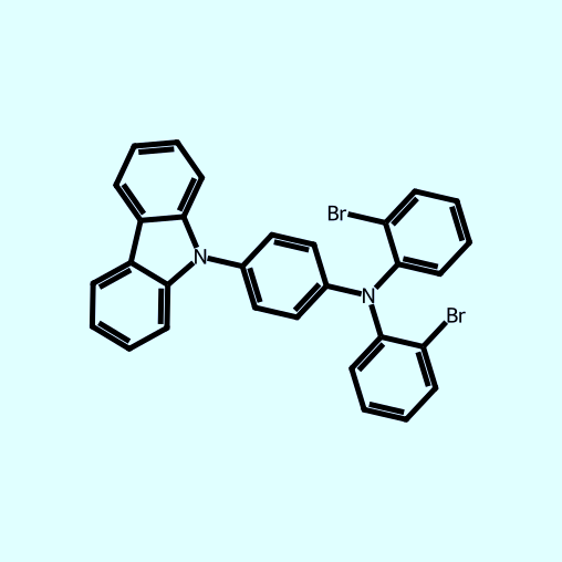 Brc1ccccc1N(c1ccc(-n2c3ccccc3c3ccccc32)cc1)c1ccccc1Br